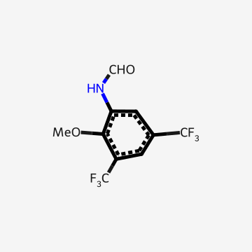 COc1c(NC=O)cc(C(F)(F)F)cc1C(F)(F)F